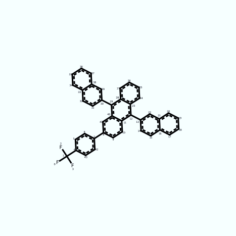 FC(F)(F)c1ccc(-c2ccc3c(-c4ccc5ccccc5c4)c4ccccc4c(-c4ccc5ccccc5c4)c3c2)cc1